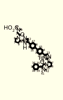 CN(CC(=O)N1CCC[C@H]1c1ncc(-c2ccc(-c3ccc(-c4cnc([C@@H]5CCCN5C(=O)[C@@H](c5ccccc5)N(C)C)[nH]4)cc3)cc2)[nH]1)C(=O)O